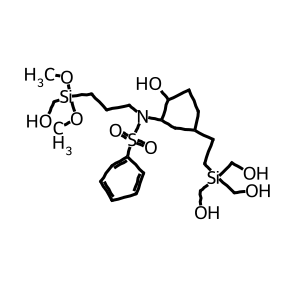 CO[Si](CO)(CCCN(C1CC(CC[Si](CO)(CO)CO)CCC1O)S(=O)(=O)c1ccccc1)OC